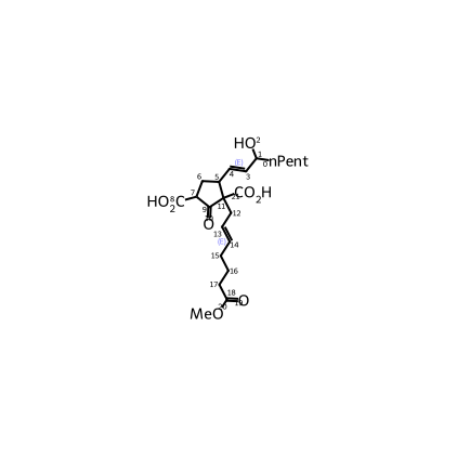 CCCCCC(O)/C=C/C1CC(C(=O)O)C(=O)C1(C/C=C/CCCC(=O)OC)C(=O)O